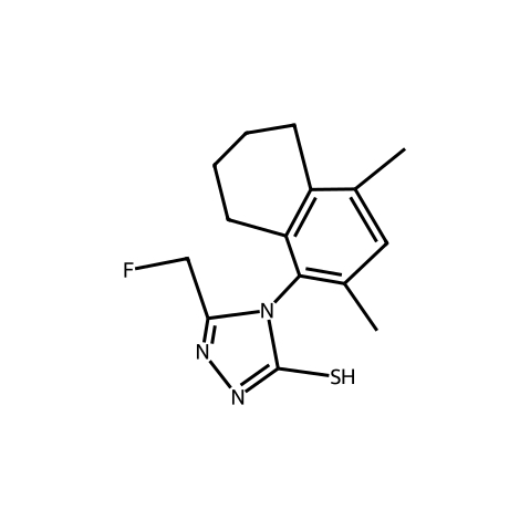 Cc1cc(C)c(-n2c(S)nnc2CF)c2c1CCCC2